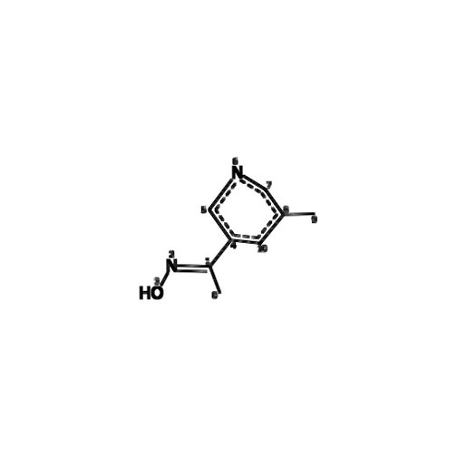 C/C(=N\O)c1cncc(C)c1